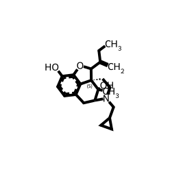 C=C(CC)C1Oc2c(O)ccc3c2[C@@]12CCN(CC1CC1)C(C3)C2(C)O